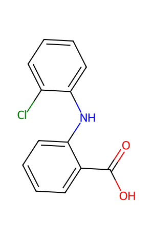 O=C(O)c1ccccc1Nc1ccccc1Cl